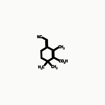 CC1=C(C(=O)O)C(C)(C)CCC1=CC#N